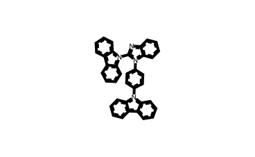 c1ccc2c(c1)nc(-n1c3ccccc3c3ccccc31)n2-c1ccc(-n2c3ccccc3c3ccccc32)cc1